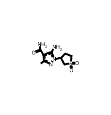 Cc1nn(C2CCS(=O)(=O)C2)c(N)c1C(N)=O